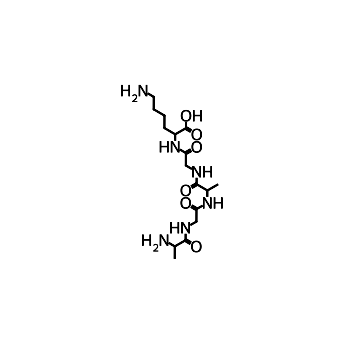 CC(N)C(=O)NCC(=O)NC(C)C(=O)NCC(=O)NC(CCCCN)C(=O)O